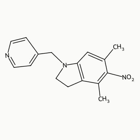 Cc1cc2c(c(C)c1[N+](=O)[O-])CCN2Cc1ccncc1